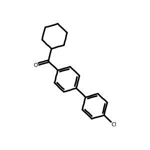 O=C(c1ccc(-c2ccc(Cl)cc2)cc1)C1CCCCC1